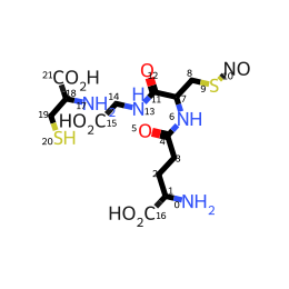 NC(CCC(=O)NC(CSN=O)C(=O)NCC(=O)O)C(=O)O.NC(CS)C(=O)O